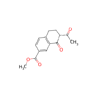 COC(=O)c1ccc2c(c1)C(=O)C(C(C)=O)CC2